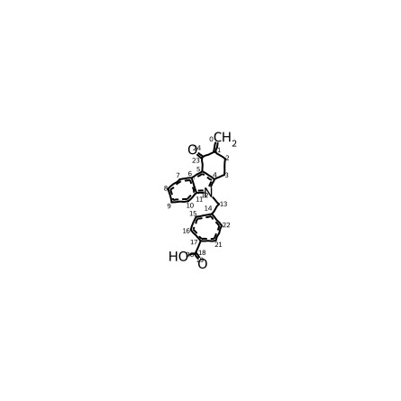 C=C1CCc2c(c3ccccc3n2Cc2ccc(C(=O)O)cc2)C1=O